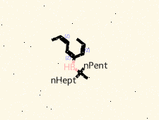 C\C=C/C=C(BC(C)(CCCCC)CCCCCCC)\C=C/C